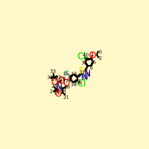 CC(C)Oc1ccc(-c2nnc(-c3cc(F)c(OCC4C(C)OC(C)(C)N4C(=O)OC(C)(C)C)cc3Cl)s2)cc1Cl